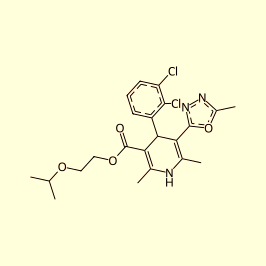 CC1=C(C(=O)OCCOC(C)C)C(c2cccc(Cl)c2Cl)C(c2nnc(C)o2)=C(C)N1